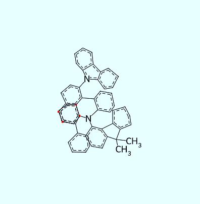 CC1(C)c2ccccc2-c2c(N(c3ccccc3-c3ccccc3)c3ccccc3-c3c(-n4c5ccccc5c5ccccc54)ccc4ccccc34)cccc21